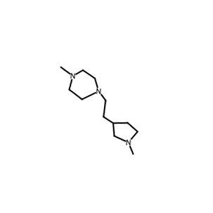 CN1CCN(CCC2CCN(C)C2)CC1